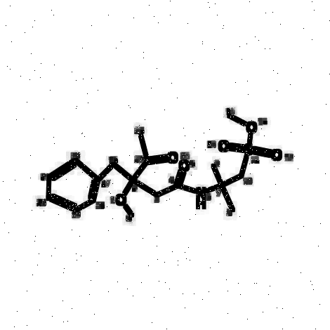 COC(CC(=O)NC(C)(C)CS(=O)(=O)OC)(Cc1ccccc1)C(C)=O